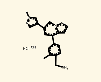 Cc1cc(-c2cc(-c3cnn(C)c3)cn3nccc23)ccc1CN.Cl.Cl